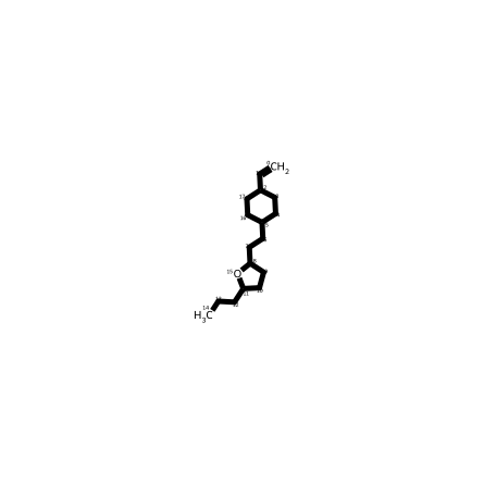 C=CC1CCC(CCC2CCC(CCC)O2)CC1